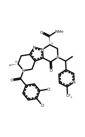 CNC(=O)[C@@H]1CN(C(C)c2ccc(C(F)(F)F)nc2)C(=O)c2c3c(nn21)C[C@@H](C)N(C(=O)c1ccc(Cl)c(Cl)c1)C3